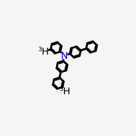 [3H]c1cccc(-c2ccc(N(c3ccc(-c4ccccc4)cc3)c3cccc([3H])c3)cc2)c1